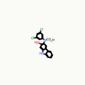 O=C(O)N(c1cc(Cl)cc(Cl)c1)c1cc2c(cc1O)[nH]c1ccccc12